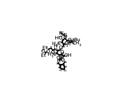 CCC(=O)O[C@H](CC)CC(=O)NC1[C@H](OCC2OC(O[Si](C)(C)C(C)(C)C)C(N=[N+]=[N-])[C@@H](O)[C@@H]2C)OC(CO)[C@@H](OP2(=O)OCc3ccccc3CO2)[C@@H]1C